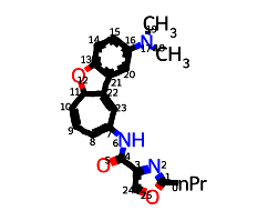 CCCc1nc(C(=O)NC2=CC=CC3Oc4ccc(N(C)C)cc4C3=C2)co1